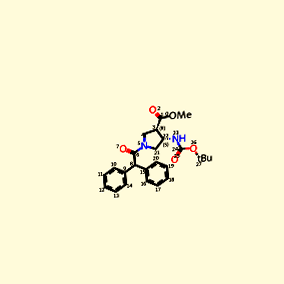 COC(=O)[C@@H]1CN(C(=O)C(c2ccccc2)c2ccccc2)C[C@H]1NC(=O)OC(C)(C)C